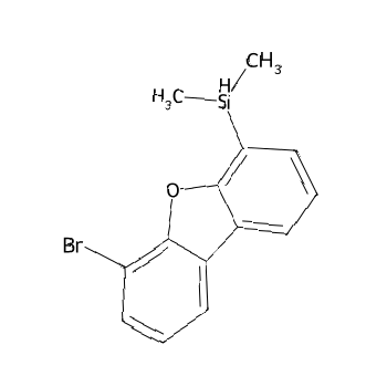 C[SiH](C)c1cccc2c1oc1c(Br)cccc12